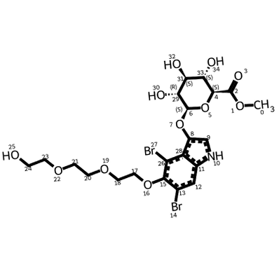 COC(=O)[C@H]1O[C@@H](Oc2c[nH]c3cc(Br)c(OCCOCCOCCO)c(Br)c23)[C@H](O)[C@@H](O)[C@@H]1O